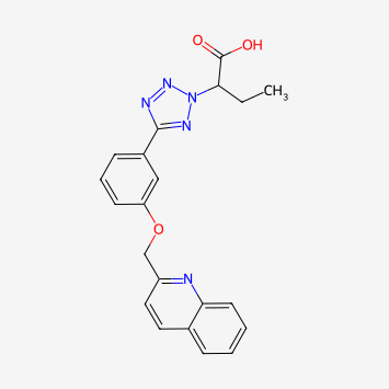 CCC(C(=O)O)n1nnc(-c2cccc(OCc3ccc4ccccc4n3)c2)n1